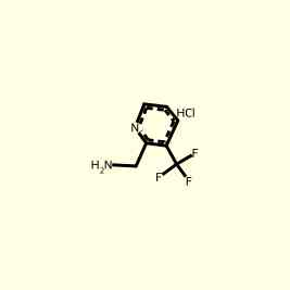 Cl.NCc1ncccc1C(F)(F)F